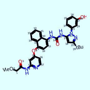 COCC(=O)Nc1cc(Oc2ccc(NC(=O)Nc3cc(C(C)(C)C)nn3-c3cccc(O)c3)c3ccccc23)ccn1